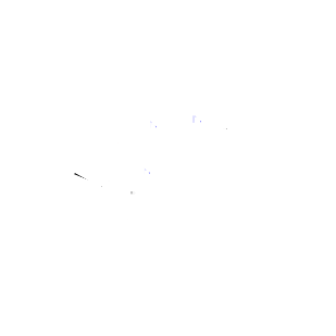 C[C@]1(O)C(O)C(CO)O[C@H]1n1ccc(NC(=O)c2ccccc2)nc1=O